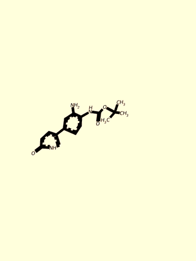 CC(C)(C)OC(=O)Nc1ccc(-c2ccc(=O)[nH]c2)cc1N